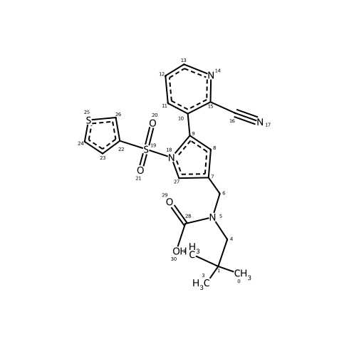 CC(C)(C)CN(Cc1cc(-c2cccnc2C#N)n(S(=O)(=O)c2ccsc2)c1)C(=O)O